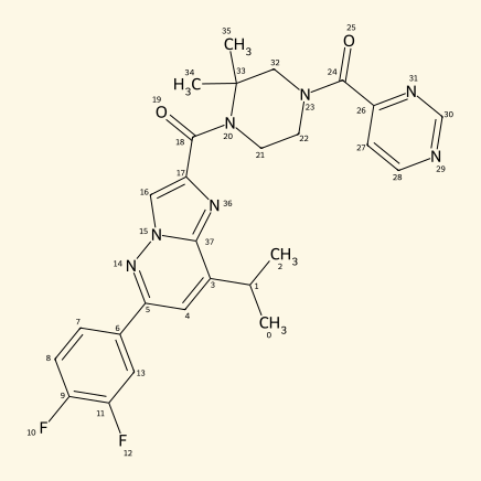 CC(C)c1cc(-c2ccc(F)c(F)c2)nn2cc(C(=O)N3CCN(C(=O)c4ccncn4)CC3(C)C)nc12